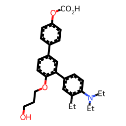 CCc1cc(-c2cc(-c3ccc(OC(=O)O)cc3)ccc2OCCCO)ccc1N(CC)CC